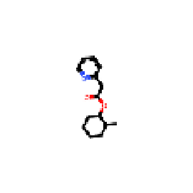 CC1CCCCC1OC(=O)Cc1ccccn1